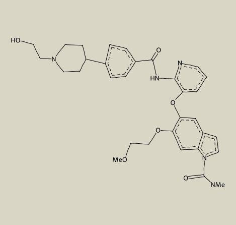 CNC(=O)n1ccc2cc(Oc3cccnc3NC(=O)c3ccc(C4CCN(CCO)CC4)cc3)c(OCCOC)cc21